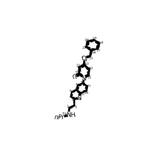 CCCNCCc1ccc2cc(-n3ccc(OCc4ccccc4)cc3=O)ccc2n1